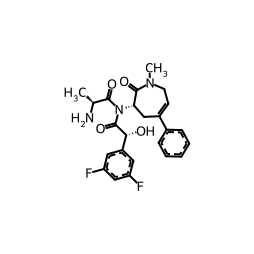 C[C@H](N)C(=O)N(C(=O)[C@H](O)c1cc(F)cc(F)c1)[C@H]1CC(c2ccccc2)=CCN(C)C1=O